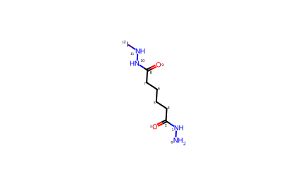 NNC(=O)CCCCC(=O)NNI